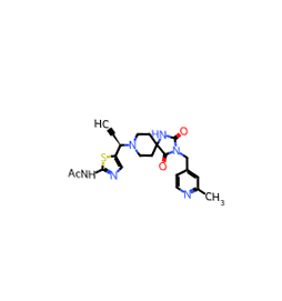 C#C[C@H](c1cnc(NC(C)=O)s1)N1CCC2(CC1)NC(=O)N(Cc1ccnc(C)c1)C2=O